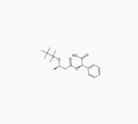 C[C@H](CC(=O)O[C@@H](C(=O)O)c1ccccc1)O[Si](C)(C)C(C)(C)C